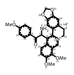 COc1ccc(C(=O)C(N)c2c3[n+](cc4c(OC)c(OC)ccc24)CCc2cc4c(cc2-3)OCO4)cc1.[I-]